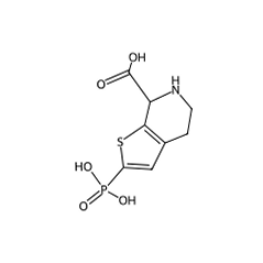 O=C(O)C1NCCc2cc(P(=O)(O)O)sc21